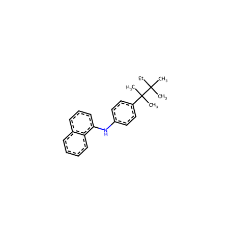 CCC(C)(C)C(C)(C)c1ccc(Nc2cccc3ccccc23)cc1